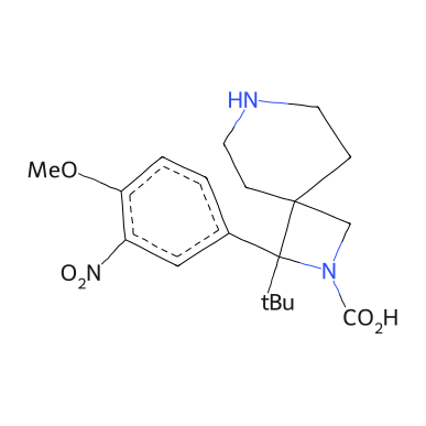 COc1ccc(C2(C(C)(C)C)N(C(=O)O)CC23CCNCC3)cc1[N+](=O)[O-]